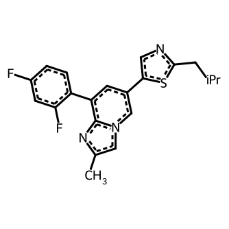 Cc1cn2cc(-c3cnc(CC(C)C)s3)cc(-c3ccc(F)cc3F)c2n1